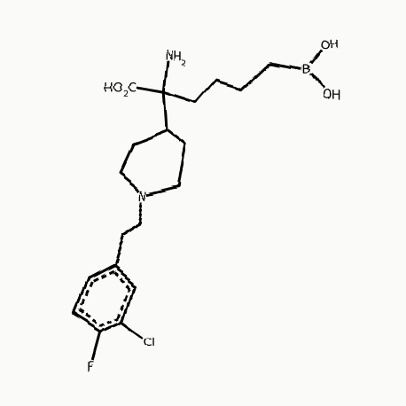 NC(CCCCB(O)O)(C(=O)O)C1CCN(CCc2ccc(F)c(Cl)c2)CC1